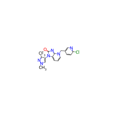 Cn1cc(-n2c3cccn(Cc4ccc(Cl)nc4)c-3nc2=O)c(C(F)(F)F)n1